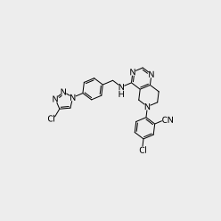 N#Cc1cc(Cl)ccc1N1CCc2ncnc(NCc3ccc(-n4cc(Cl)nn4)cc3)c2C1